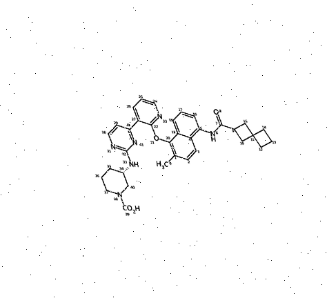 Cc1ccc2c(NC(=O)C3CC4(CCC4)C3)cccc2c1Oc1ncccc1-c1ccnc(N[C@H]2CCCN(C(=O)O)C2)n1